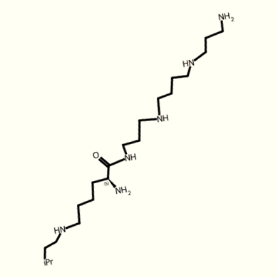 CC(C)CCNCCCC[C@H](N)C(=O)NCCCNCCCCNCCCN